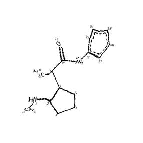 CNC1CCCC1C(C)C(=O)Nc1ccccc1